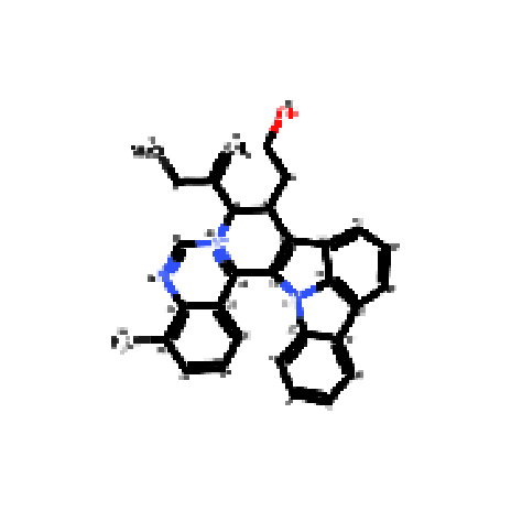 C=C(COC)C1C(CCO)c2c(n3c4ccccc4c4cccc2c43)-c2c3cccc(C(F)(F)F)c3nc[n+]21